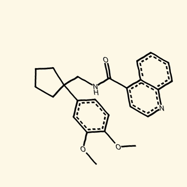 COc1ccc(C2(CNC(=O)c3ccnc4ccccc34)CCCC2)cc1OC